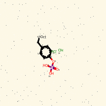 CCCCCCCCCc1ccc(OP(=O)(O)O)cc1.Cl.Cl